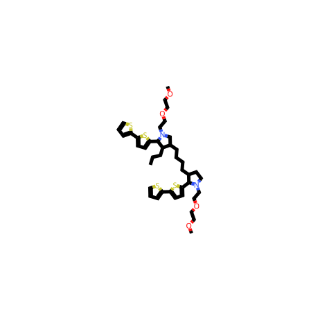 CCCC1C(CCCCC2CCN(CCOCCOC)C2c2ccc(-c3cccs3)s2)CN(CCOCCOC)C1c1ccc(-c2cccs2)s1